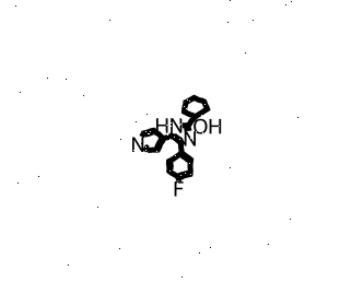 OC1(c2nc(-c3ccc(F)cc3)c(-c3ccncc3)[nH]2)CCCCC1